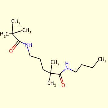 CCCCNC(=O)C(C)(C)CCCNC(=O)C(C)(C)C